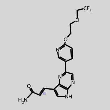 NC(=O)/C=C/c1c[nH]c2ncc(-c3ccc(OCCOCC(F)(F)F)nc3)nc12